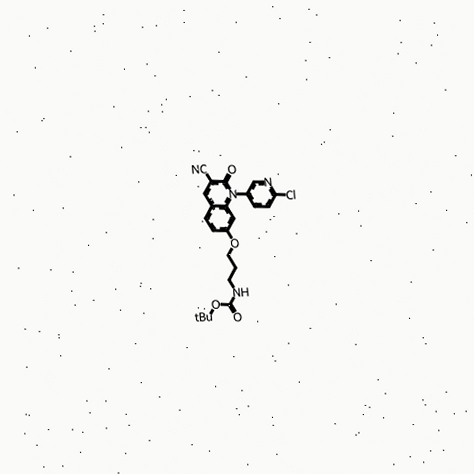 CC(C)(C)OC(=O)NCCCOc1ccc2cc(C#N)c(=O)n(-c3ccc(Cl)nc3)c2c1